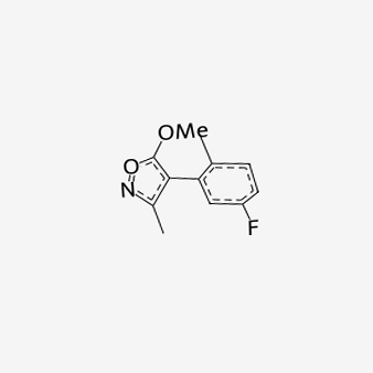 COc1onc(C)c1-c1cc(F)ccc1C